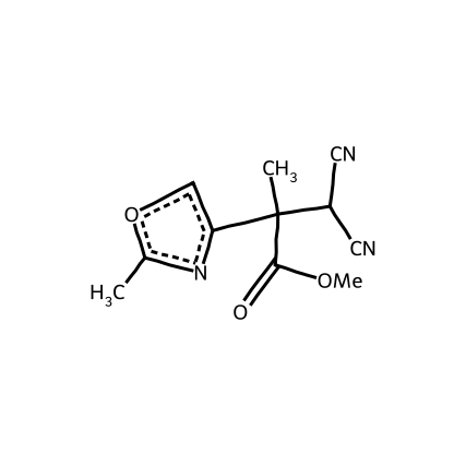 COC(=O)C(C)(c1coc(C)n1)C(C#N)C#N